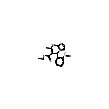 CCOC(=O)C1=C(C)Nc2nccn2C1c1ccccc1[N+](=O)[O-]